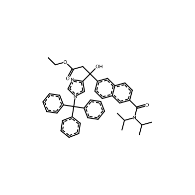 CCOC(=O)CC(O)(c1ccc2cc(C(=O)N(C(C)C)C(C)C)ccc2c1)c1cn(C(c2ccccc2)(c2ccccc2)c2ccccc2)cn1